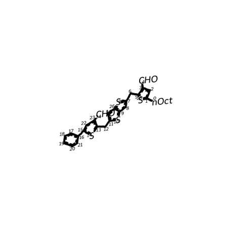 CCCCCCCCc1cc(C=O)c(Cc2cc3sc(Cc4sc(-c5ccccc5)cc4C=O)cc3s2)s1